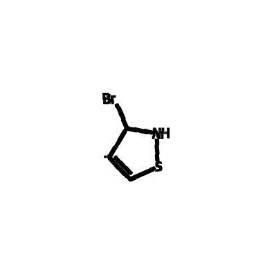 BrC1[C]=CSN1